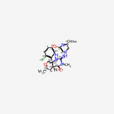 COc1cncc(Oc2ccc(F)c([C@]34CO[C@@H](C)C[C@H]3C(=O)N(C)C(=N)N4)c2)n1